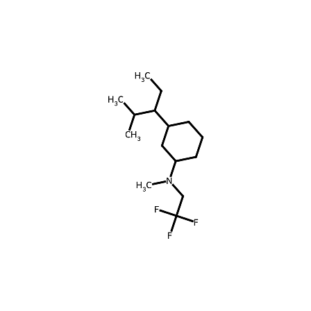 CCC(C(C)C)C1CCCC(N(C)CC(F)(F)F)C1